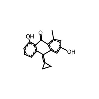 Cc1cc(O)cc2c1C(=O)c1c(O)cccc1C2=C1CC1